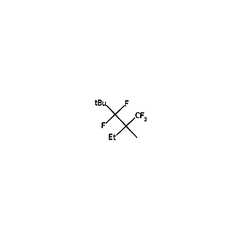 CCC(C)(C(F)(F)F)C(F)(F)C(C)(C)C